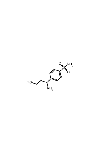 NC(CCO)c1ccc(S(N)(=O)=O)cc1